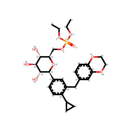 CCOP(=O)(OCC)OC[C@H]1O[C@@H](c2ccc(C3CC3)c(Cc3ccc4c(c3)OCCO4)c2)[C@H](O)[C@@H](O)[C@@H]1O